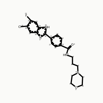 O=C(NCCCN1CCOCC1)c1ccc(-c2nc3cc(Cl)c(F)cc3[nH]2)cc1